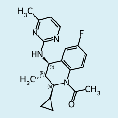 CC(=O)N1c2ccc(F)cc2[C@H](Nc2nccc(C)n2)[C@@H](C)[C@@H]1C1CC1